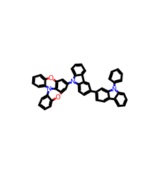 c1ccc(-n2c3ccccc3c3ccc(-c4ccc5c(c4)c4ccccc4n5-c4cc5c6c(c4)Oc4ccccc4N6c4ccccc4O5)cc32)cc1